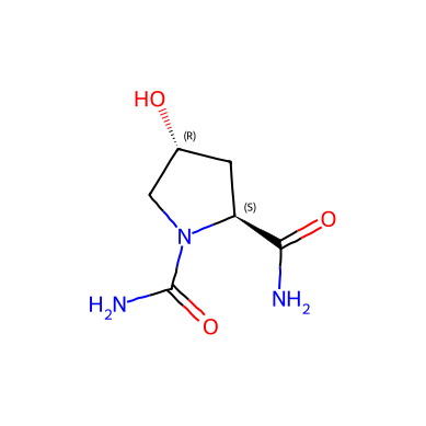 NC(=O)[C@@H]1C[C@@H](O)CN1C(N)=O